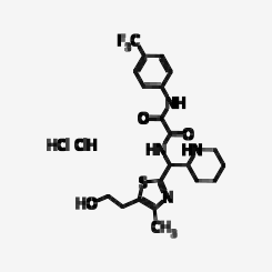 Cc1nc(C(NC(=O)C(=O)Nc2ccc(C(F)(F)F)cc2)C2CCCCN2)sc1CCO.Cl.Cl